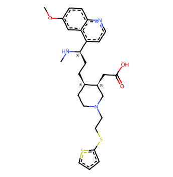 CN[C@H](CC[C@@H]1CCN(CCSc2cccs2)C[C@@H]1CC(=O)O)c1ccnc2ccc(OC)cc12